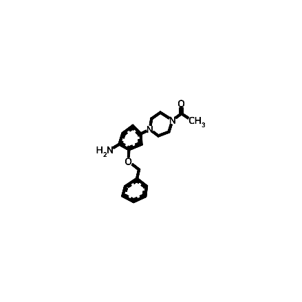 CC(=O)N1CCN(c2ccc(N)c(OCc3ccccc3)c2)CC1